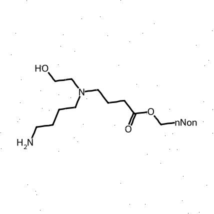 CCCCCCCCCCOC(=O)CCCN(CCO)CCCCN